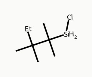 CCC(C)(C)C(C)(C)[SiH2]Cl